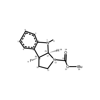 CN1c2ccccc2[C@]2(F)CCN(C(=O)OC(C)(C)C)[C@H]12